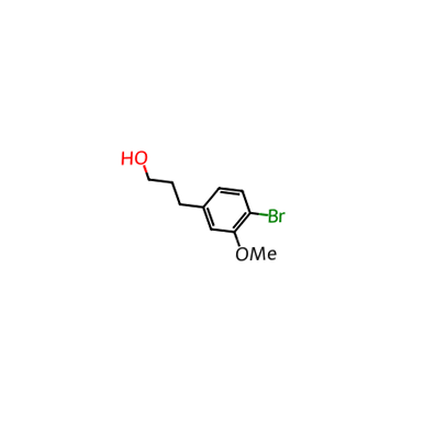 COc1cc(CCCO)ccc1Br